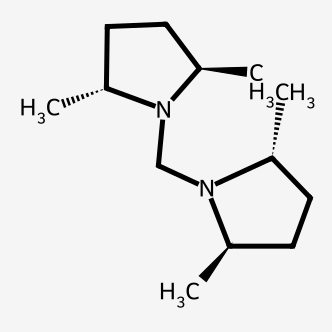 C[C@@H]1CC[C@@H](C)N1CN1[C@H](C)CC[C@H]1C